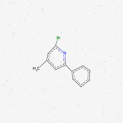 Cc1cc(Br)nc(-c2ccccc2)c1